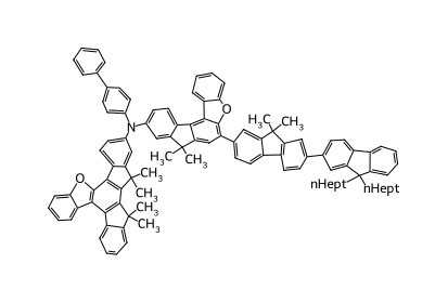 CCCCCCCC1(CCCCCCC)c2ccccc2-c2ccc(-c3ccc4c(c3)C(C)(C)c3cc(-c5cc6c(c7c5oc5ccccc57)-c5ccc(N(c7ccc(-c8ccccc8)cc7)c7ccc8c(c7)C(C)(C)c7c9c(c%10c(oc%11ccccc%11%10)c7-8)-c7ccccc7C9(C)C)cc5C6(C)C)ccc3-4)cc21